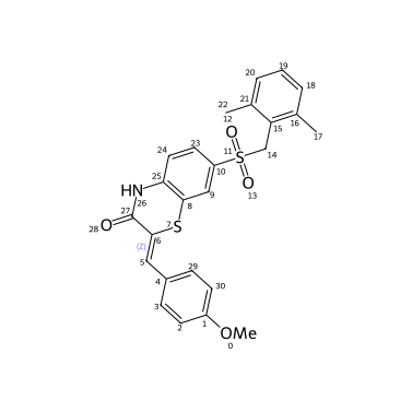 COc1ccc(/C=C2\Sc3cc(S(=O)(=O)Cc4c(C)cccc4C)ccc3NC2=O)cc1